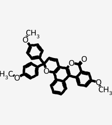 COc1ccc(C2(c3ccc(OC)cc3)C=Cc3c(c4ccccc4c4c3oc(=O)c3cc(OC)ccc34)O2)cc1